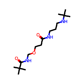 CC(C)(C)NCCCNC(=O)CCOCNC(=O)C(C)(C)C